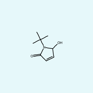 CC(C)(C)N1C(=O)C=CC1O